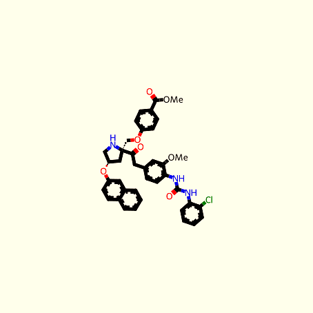 COC(=O)c1ccc(OC[C@]2(C(=O)Cc3ccc(NC(=O)Nc4ccccc4Cl)c(OC)c3)C[C@H](Oc3ccc4ccccc4c3)CN2)cc1